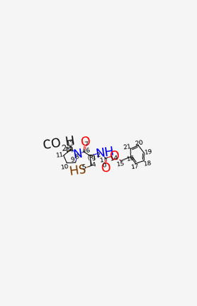 O=C(N[C@@H](CS)C(=O)N1CCC[C@H]1C(=O)O)OCc1ccccc1